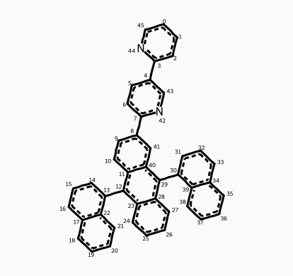 c1ccc(-c2ccc(-c3ccc4c(-c5cccc6ccccc56)c5ccccc5c(-c5cccc6ccccc56)c4c3)nc2)nc1